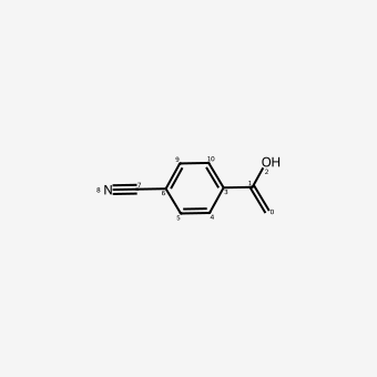 C=C(O)c1ccc(C#N)cc1